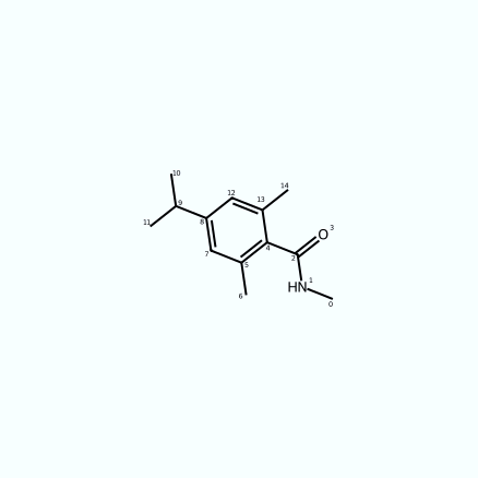 CNC(=O)c1c(C)cc(C(C)C)cc1C